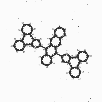 c1ccc2cc3c(-c4cc5c6ccccc6c6ccccc6c5s4)c4ccccc4c(-c4cc5c6ccccc6c6ccccc6c5s4)c3cc2c1